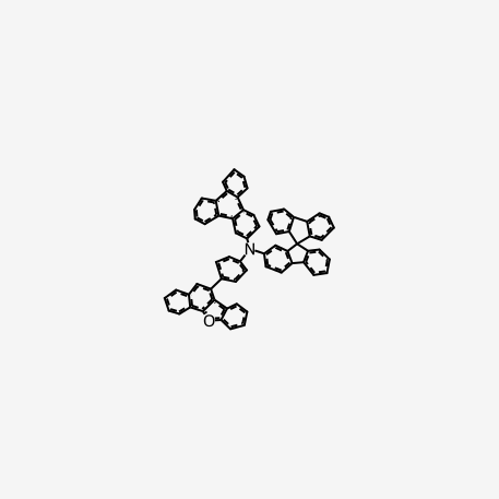 c1ccc2c(c1)-c1ccccc1C21c2ccccc2-c2ccc(N(c3ccc(-c4cc5ccccc5c5oc6ccccc6c45)cc3)c3ccc4c5ccccc5c5ccccc5c4c3)cc21